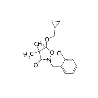 CC1(C)C(=O)N(Cc2ccccc2Cl)OC1OCC1CC1